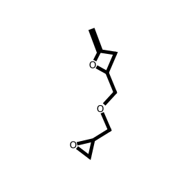 C=C1CC(COCC2CO2)O1